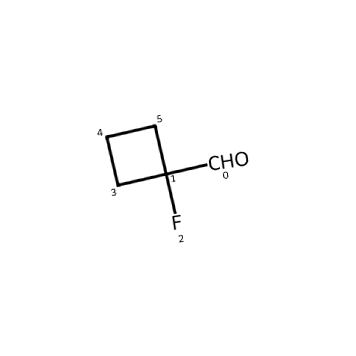 O=CC1(F)CCC1